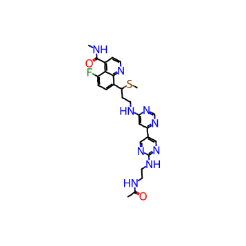 CNC(=O)c1ccnc2c(C(CCNc3cc(-c4cnc(NCCNC(C)=O)nc4)ncn3)SC)ccc(F)c12